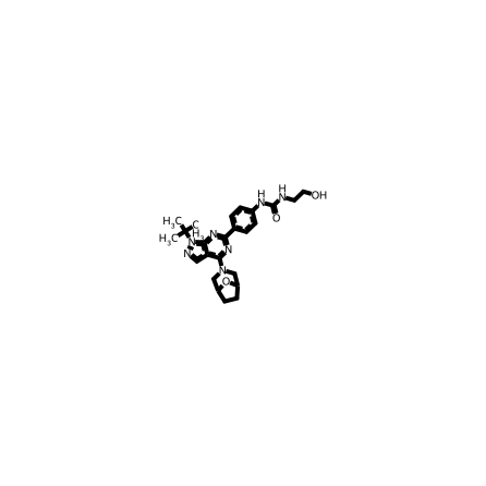 CC(C)(C)n1ncc2c(N3CC4CCC(C3)O4)nc(-c3ccc(NC(=O)NCCO)cc3)nc21